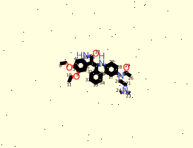 CCOc1cc2c(cc1OCC)/C(=C(/Nc1ccc(N(CCN(C)C)C(C)=O)cc1)c1ccccc1)C(=O)N2